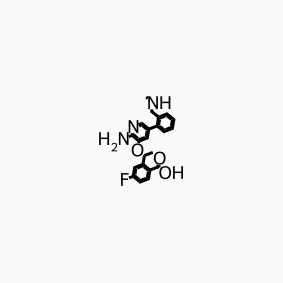 CNCc1ccccc1-c1cnc(N)c(OC(C)c2cc(F)ccc2C(=O)O)c1